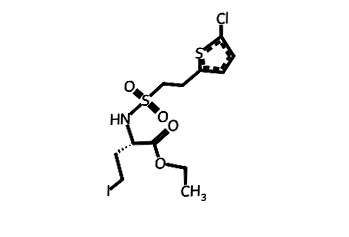 CCOC(=O)[C@H](CCI)NS(=O)(=O)CCc1ccc(Cl)s1